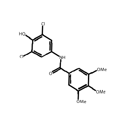 COc1cc(C(=O)Nc2cc(Cl)c(O)c(Cl)c2)cc(OC)c1OC